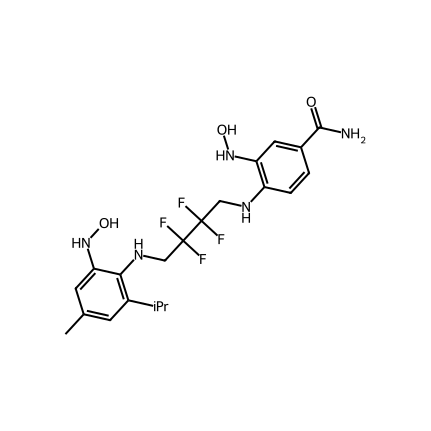 Cc1cc(NO)c(NCC(F)(F)C(F)(F)CNc2ccc(C(N)=O)cc2NO)c(C(C)C)c1